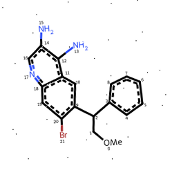 COCC(c1ccccc1)c1cc2c(N)c(N)cnc2cc1Br